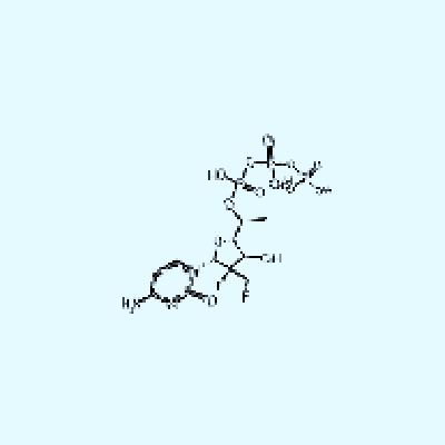 C[C@H](OP(=O)(O)OP(=O)(O)OP(=O)(O)O)[C@H]1O[C@@H](n2ccc(N)nc2=O)[C@@](F)(CF)C1O